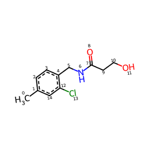 Cc1ccc(CNC(=O)CCO)c(Cl)c1